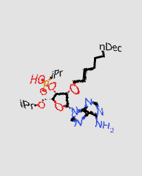 CCCCCCCCCCCCCCCCO[C@H]1[C@@H](OP(=O)(O)C(C)C)[C@@H](COC(C)C)O[C@H]1n1cnc2c(N)ncnc21